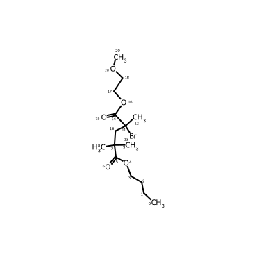 CCCCOC(=O)C(C)(C)CC(C)(Br)C(=O)OCCOC